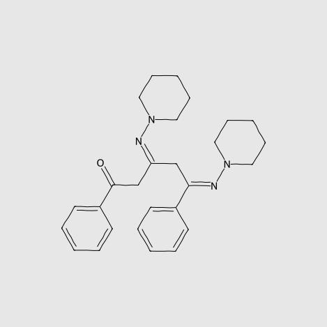 O=C(C/C(C/C(=N\N1CCCCC1)c1ccccc1)=N/N1CCCCC1)c1ccccc1